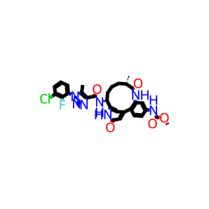 COC(=O)Nc1ccc2c(c1)NC(=O)[C@@H](C)CCC[C@H](NC(=O)c1nnn(-c3cccc(Cl)c3F)c1C)c1cc-2cc(=O)[nH]1